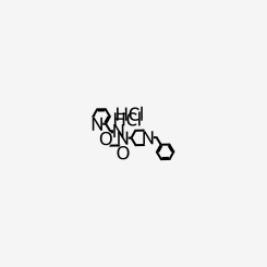 Cl.Cl.O=C1COC(c2ccccn2)=NN1C1CCN(Cc2ccccc2)CC1